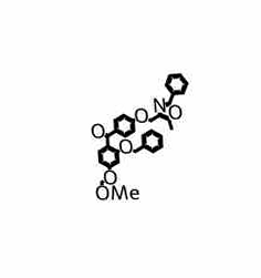 COCOc1ccc(C(=O)c2ccc(OCc3nc(-c4ccccc4)oc3C)cc2)c(OCc2ccccc2)c1